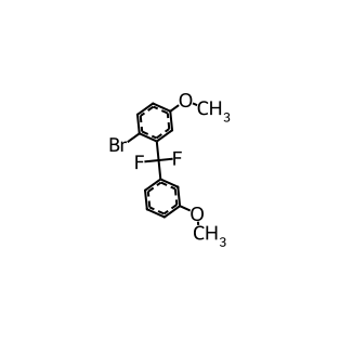 COc1cccc(C(F)(F)c2cc(OC)ccc2Br)c1